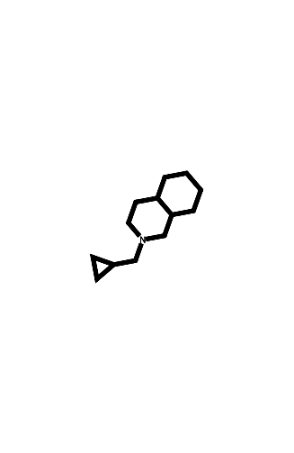 C1CCC2CN(CC3CC3)CCC2C1